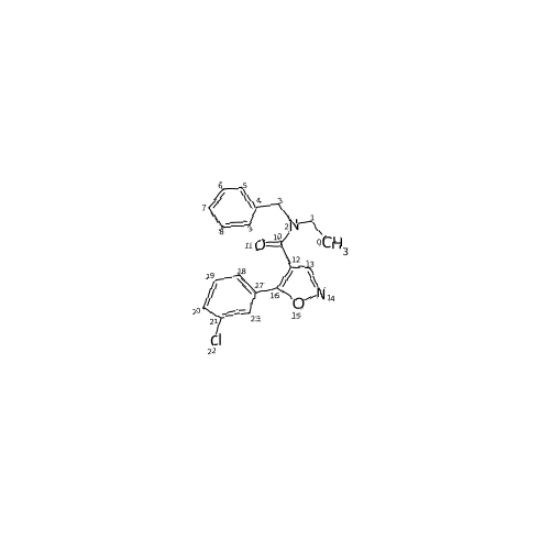 CCN(Cc1ccccc1)C(=O)c1cnoc1-c1cccc(Cl)c1